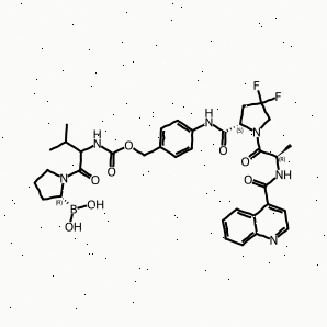 CC(C)C(NC(=O)OCc1ccc(NC(=O)[C@@H]2CC(F)(F)CN2C(=O)[C@@H](C)NC(=O)c2ccnc3ccccc23)cc1)C(=O)N1CCC[C@H]1B(O)O